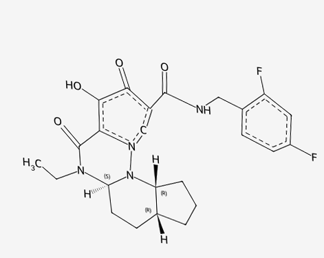 CCN1C(=O)c2c(O)c(=O)c(C(=O)NCc3ccc(F)cc3F)cn2N2[C@@H]3CCC[C@@H]3CC[C@@H]12